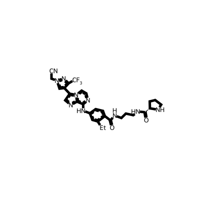 CCc1cc(Nc2nccn3c(-c4cn(CC#N)nc4C(F)(F)F)cnc23)ccc1C(=O)NCCCNC(=O)[C@@H]1CCCN1